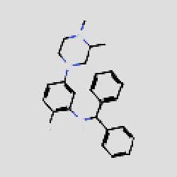 CC1CN(c2ccc([N+](=O)[O-])c(NC(c3ccccc3)c3ccccc3)c2)CCN1C